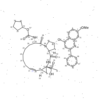 COc1ccc2c(O[C@@H]3C[C@H]4C(=O)N[C@]5(P(C)(=O)O)C[C@H]5/C=C\CCCCC[C@H](NC(=O)OC5CCCC5)C(=O)N4C3)cc(-c3ccccc3)nc2c1